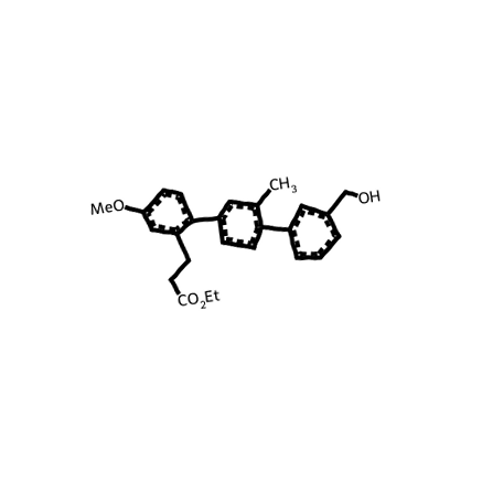 CCOC(=O)CCc1cc(OC)ccc1-c1ccc(-c2cccc(CO)c2)c(C)c1